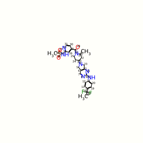 C[C@@H]1C[C@H](N2Cc3cnc(Nc4ccc(C(C)(F)F)cc4)nc3C2)CCN1C(=O)c1ccnc(NS(C)(=O)=O)c1